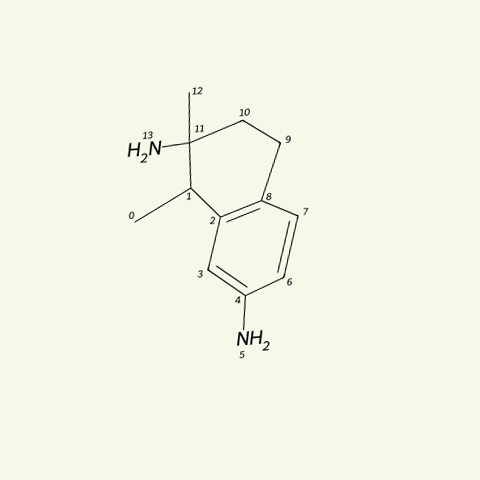 CC1c2cc(N)ccc2CCC1(C)N